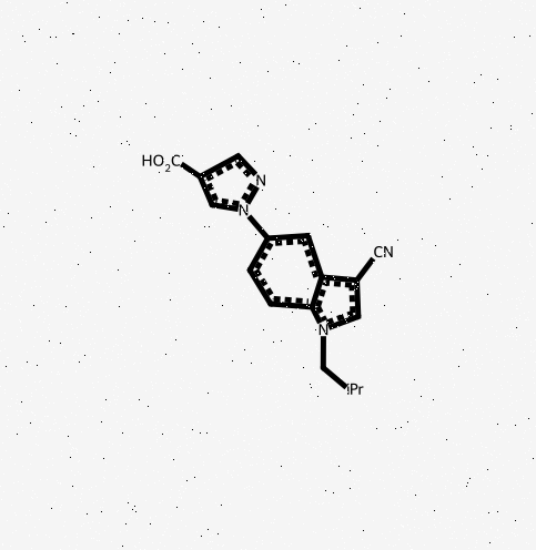 CC(C)Cn1cc(C#N)c2cc(-n3cc(C(=O)O)cn3)ccc21